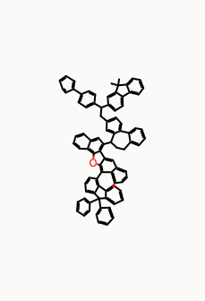 CC1(C)c2ccccc2-c2ccc(C(Cc3ccc4c(c3)C(c3cc5ccccc5c5oc6c(-c7cccc8c7-c7ccccc7C8(c7ccccc7)c7ccccc7)c7ccccc7cc6c35)CCc3ccccc3-4)c3ccc(-c4ccccc4)cc3)cc21